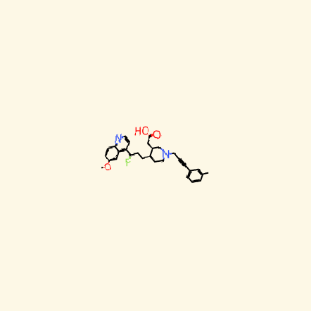 COc1ccc2nccc(C(F)CC[C@@H]3CCN(CC#Cc4cccc(C)c4)C[C@@H]3CC(=O)O)c2c1